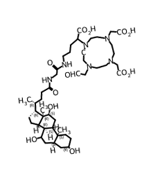 C[C@H](CCC(=O)NCC(=O)NCCCC(C(=O)O)N1CCN(CC=O)CCN(CC(=O)O)CCN(CC(=O)O)CC1)[C@H]1CC[C@H]2[C@@H]3C(O)C[C@@H]4C[C@H](O)CC[C@]4(C)[C@H]3C[C@H](O)[C@]12C